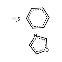 S.c1ccccc1.c1cocn1